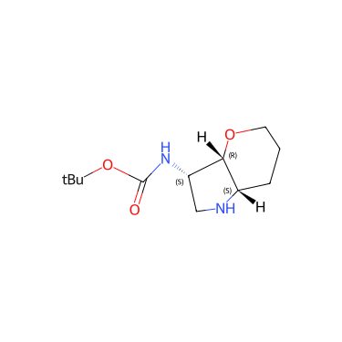 CC(C)(C)OC(=O)N[C@H]1CN[C@H]2CCCO[C@H]21